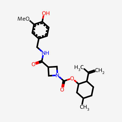 C=C(C)C1CCC(C)CC1OC(=O)N1CC(C(=O)NCc2ccc(O)c(OC)c2)C1